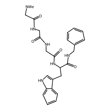 CNCC(=O)NCC(=O)NCC(=O)NC(Cc1c[nH]c2ccccc12)C(=O)NCc1ccccc1